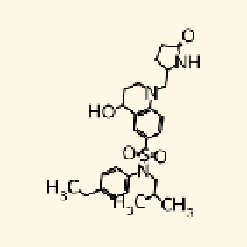 CCc1ccc(N(CC(C)C)S(=O)(=O)c2ccc3c(c2)C(O)CCN3CC2CCC(=O)N2)cc1